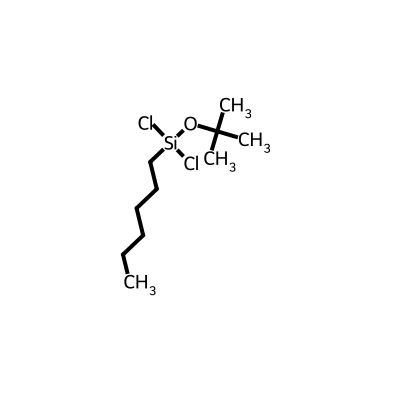 CCCCCC[Si](Cl)(Cl)OC(C)(C)C